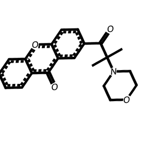 CC(C)(C(=O)c1ccc2oc3ccccc3c(=O)c2c1)N1CCOCC1